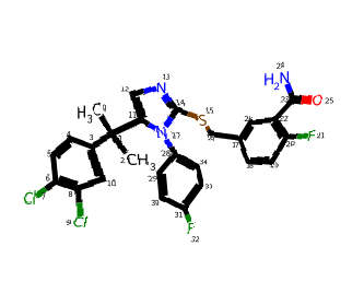 CC(C)(c1ccc(Cl)c(Cl)c1)c1cnc(SCc2ccc(F)c(C(N)=O)c2)n1-c1ccc(F)cc1